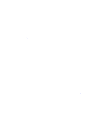 CC(C)N1CCC(CCCCOc2ccc3c(c2)CCN(S(C)(=O)=O)C3)CC1